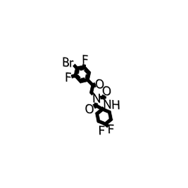 O=C(CN1C(=O)NC2(CCC(F)(F)CC2)C1=O)c1cc(F)c(Br)c(F)c1